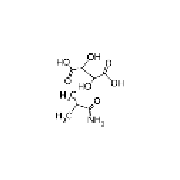 CC(C)C(N)=O.O=C(O)C(O)C(O)C(=O)O